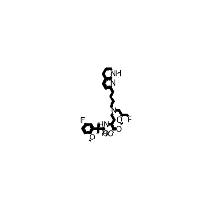 COc1ccc(F)cc1C(C)(C)C(=O)NC(CCN(CCCCc1ccc2c(n1)NCCC2)CC(CF)OC)C(=O)O